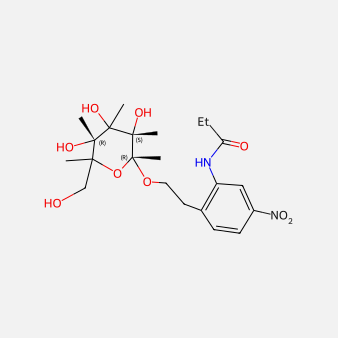 CCC(=O)Nc1cc([N+](=O)[O-])ccc1CCO[C@]1(C)OC(C)(CO)[C@](C)(O)C(C)(O)[C@]1(C)O